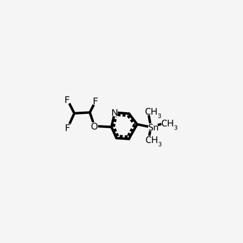 [CH3][Sn]([CH3])([CH3])[c]1ccc(OC(F)C(F)F)nc1